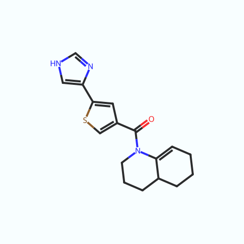 O=C(c1csc(-c2c[nH]cn2)c1)N1CCCC2CCCC=C21